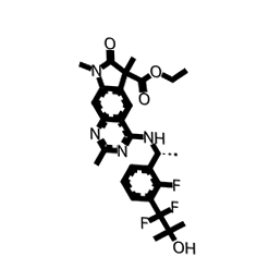 CCOC(=O)C1(C)C(=O)N(C)c2cc3nc(C)nc(N[C@H](C)c4cccc(C(F)(F)C(C)(C)O)c4F)c3cc21